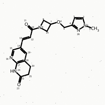 Cn1ccc(COC2CN(C(=O)C=Cc3cnc4c(c3)CCC(=O)N4)C2)n1